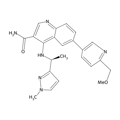 COCc1ccc(-c2ccc3ncc(C(N)=O)c(N[C@@H](C)c4ccn(C)n4)c3c2)cn1